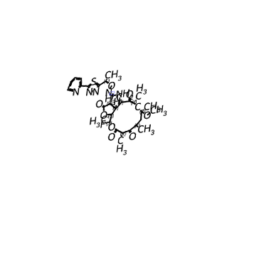 CO[C@@]1(C)C[C@@H](C)C(=O)[C@@H](C)C(=O)O[C@@H](F)[C@@]2(C)OC(=O)[C@@H](/C(N)=N/O[C@@H](C)c3nnc(-c4ccccn4)s3)[C@@H]2[C@@H](C)C(=O)[C@H](C)C1